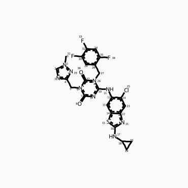 Cn1cnc(Cn2c(=O)nc(Nc3cc4sc(NC5CC5)nc4cc3Cl)n(Cc3cc(F)c(F)cc3F)c2=O)n1